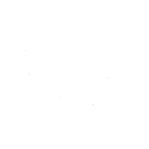 CCCCNCCC[Si](OC)(OC)OC.COC(OC)[SiH2]CC(CN)CCN.CO[Si](CC(CN)CCN)(OC)OC